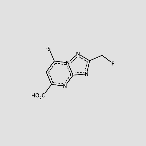 O=C(O)c1cc([S])n2nc(CF)nc2n1